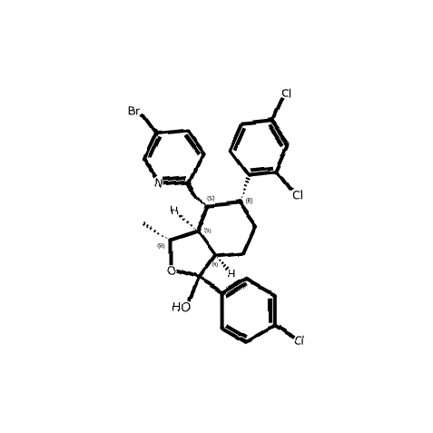 C[C@H]1OC(O)(c2ccc(Cl)cc2)[C@@H]2CC[C@@H](c3ccc(Cl)cc3Cl)[C@H](c3ccc(Br)cn3)[C@@H]21